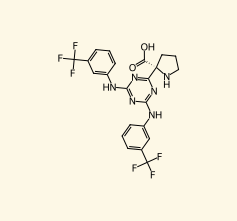 O=C(O)[C@]1(c2nc(Nc3cccc(C(F)(F)F)c3)nc(Nc3cccc(C(F)(F)F)c3)n2)CCCN1